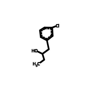 CCC(O)Cc1cccc(Cl)c1